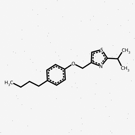 CCCCc1ccc(OCc2csc(C(C)C)n2)cc1